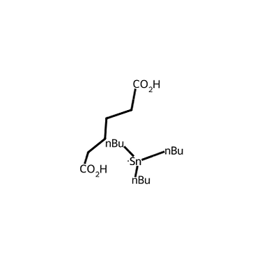 CCC[CH2][Sn]([CH2]CCC)[CH2]CCC.O=C(O)CCCCC(=O)O